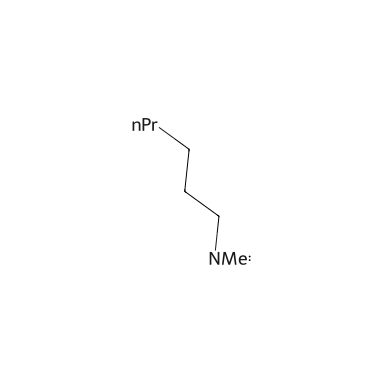 CCCCCC[N+]C